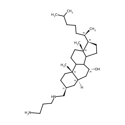 CC(C)CCC[C@@H](C)[C@H]1CCC2C3C(CC[C@@]21C)[C@@]1(C)CC[C@H](CNCCCN)C[C@@H]1C[C@H]3O